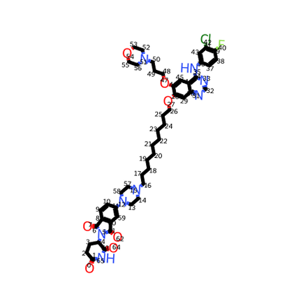 O=C1CCC(N2C(=O)c3ccc(N4CCN(CCCCCCCCCCCOc5cc6ncnc(Nc7ccc(F)c(Cl)c7)c6cc5OCCCN5CCOCC5)CC4)cc3C2=O)C(=O)N1